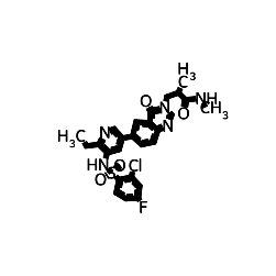 CCc1ncc(-c2ccc3ncn(CC(C)C(=O)NC)c(=O)c3c2)cc1NS(=O)(=O)c1ccc(F)cc1Cl